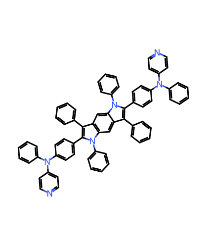 c1ccc(-c2c(-c3ccc(N(c4ccccc4)c4ccncc4)cc3)n(-c3ccccc3)c3cc4c(-c5ccccc5)c(-c5ccc(N(c6ccccc6)c6ccncc6)cc5)n(-c5ccccc5)c4cc23)cc1